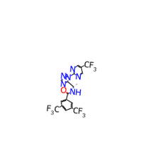 C[C@H](NC(=O)c1cc(C(F)(F)F)cc(C(F)(F)F)c1)c1ncnn1-c1ncc(C(F)(F)F)cn1